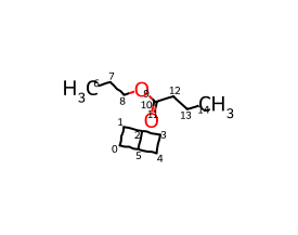 C1CC2CCC12.CCCOC(=O)CCC